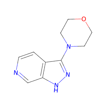 c1cc2c(N3CCOCC3)n[nH]c2cn1